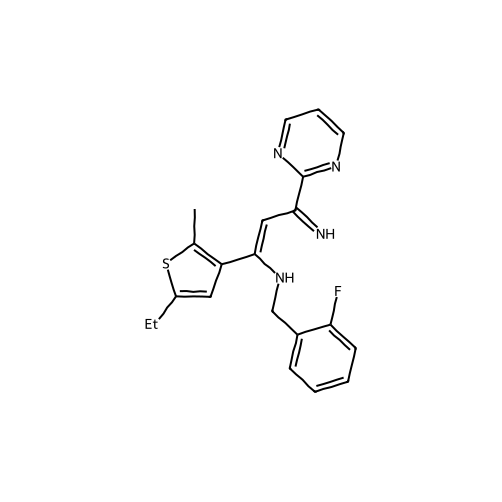 CCc1cc(/C(=C/C(=N)c2ncccn2)NCc2ccccc2F)c(C)s1